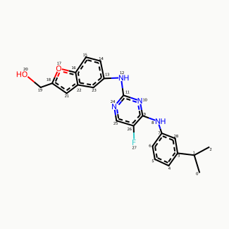 CC(C)c1cccc(Nc2nc(Nc3ccc4oc(CO)cc4c3)ncc2F)c1